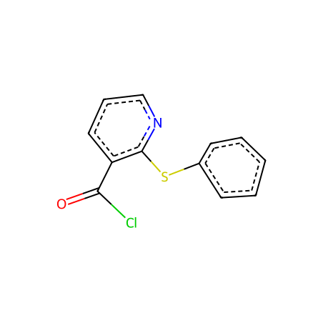 O=C(Cl)c1cccnc1Sc1ccccc1